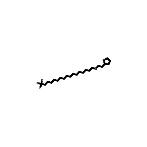 FC(F)(F)CCCCCCCCCCCCCCCCOCCC1CCCO1